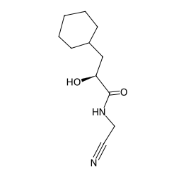 N#CCNC(=O)[C@@H](O)CC1CCCCC1